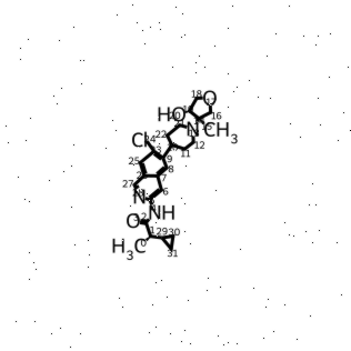 C[C@@H](C(=O)Nc1cc2cc(C3CCN([C@@]4(C)COC[C@H]4O)CC3)c(Cl)cc2cn1)C1CC1